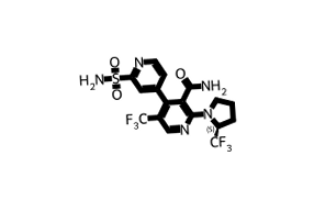 NC(=O)c1c(N2CCC[C@H]2C(F)(F)F)ncc(C(F)(F)F)c1-c1ccnc(S(N)(=O)=O)c1